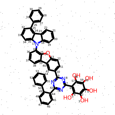 Oc1c(O)c(O)c(-c2nc(-c3ccc4oc5c(-n6c7ccccc7c7c(-c8ccccc8)cccc76)cccc5c4c3)nc(-c3ccccc3-c3ccccc3)n2)c(O)c1O